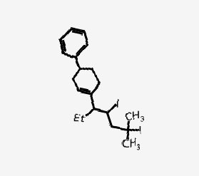 CCC(C1=CCC(c2ccccc2)CC1)C(I)CC(C)(C)I